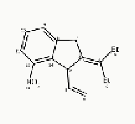 C=CC1C(=C(CC)CC)Cc2cccc([N+](=O)[O-])c21